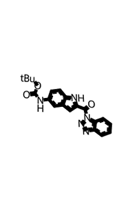 CC(C)(C)OC(=O)Nc1ccc2[nH]c(C(=O)n3nnc4ccccc43)cc2c1